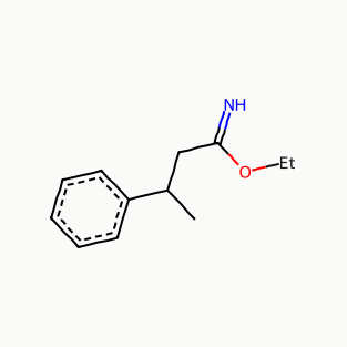 CCOC(=N)CC(C)c1ccccc1